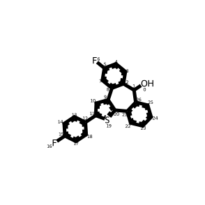 OC1c2ccc(F)cc2-c2cc(-c3ccc(F)cc3)sc2-c2ccccc21